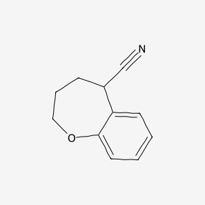 N#CC1CCCOc2ccccc21